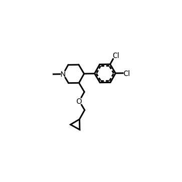 CN1CCC(c2ccc(Cl)c(Cl)c2)C(COCC2CC2)C1